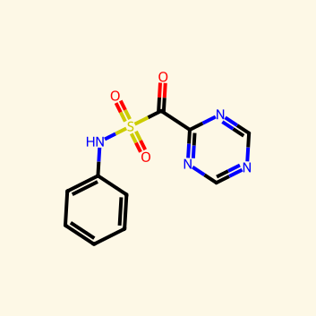 O=C(c1ncncn1)S(=O)(=O)Nc1ccccc1